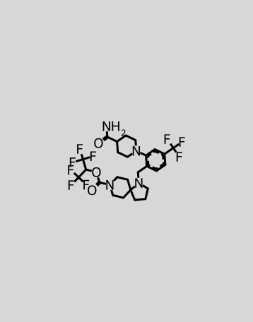 NC(=O)C1CCN(c2cc(C(F)(F)F)ccc2CN2CCCC23CCN(C(=O)OC(C(F)(F)F)C(F)(F)F)CC3)CC1